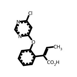 CC=C(C(=O)O)c1ccccc1Oc1cc(Cl)ncn1